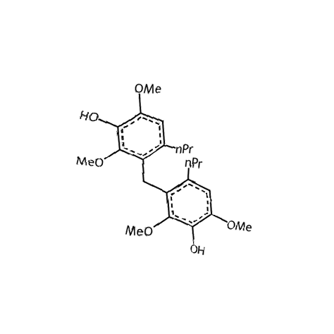 CCCc1cc(OC)c(O)c(OC)c1Cc1c(CCC)cc(OC)c(O)c1OC